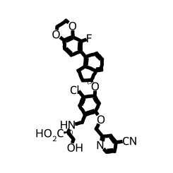 N#Cc1ccnc(COc2cc(O[C@H]3CCc4c(-c5ccc6c(c5F)OCCO6)cccc43)c(Cl)cc2CN[C@@H](CO)C(=O)O)c1